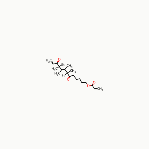 C=CC(=O)OCCCCCC(=O)C(C)(CC)C(C)C(C)C(C)(CC)C(=O)C=C